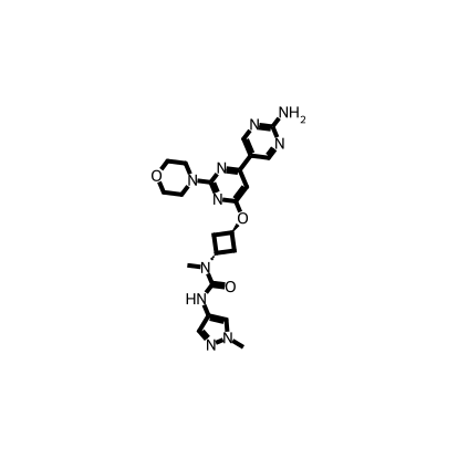 Cn1cc(NC(=O)N(C)[C@H]2C[C@H](Oc3cc(-c4cnc(N)nc4)nc(N4CCOCC4)n3)C2)cn1